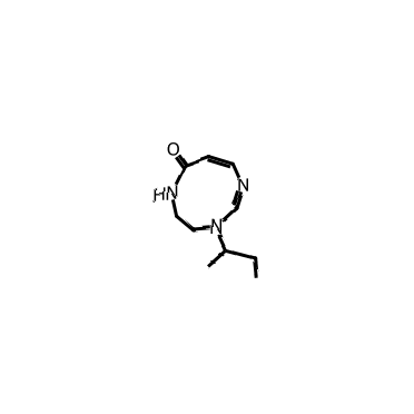 CCC(C)N1/C=N\C=C/C(=O)NCC1